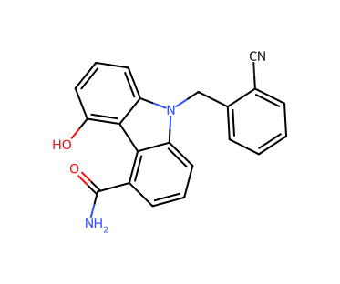 N#Cc1ccccc1Cn1c2cccc(O)c2c2c(C(N)=O)cccc21